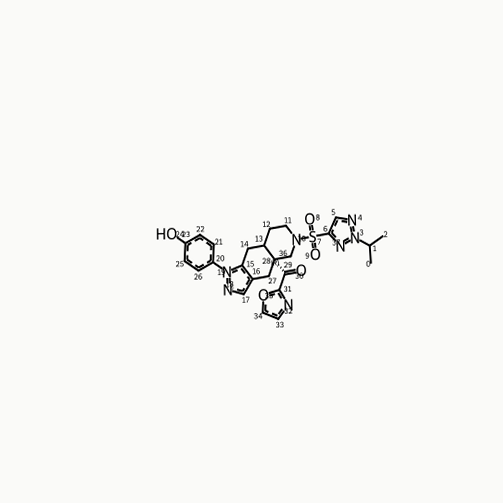 CC(C)n1ncc(S(=O)(=O)N2CCC3Cc4c(cnn4-c4ccc(O)cc4)C[C@]3(C(=O)c3ncco3)C2)n1